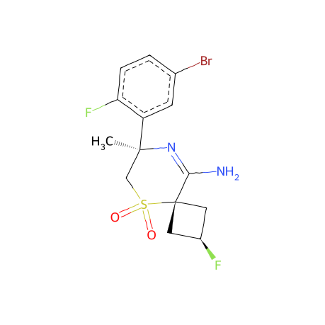 C[C@@]1(c2cc(Br)ccc2F)CS(=O)(=O)[C@]2(C[C@H](F)C2)C(N)=N1